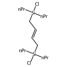 CCC[Si](Cl)(CC=CC[Si](Cl)(CCC)CCC)CCC